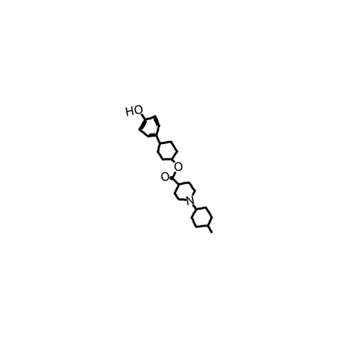 CC1CCC(N2CCC(C(=O)OC3CCC(c4ccc(O)cc4)CC3)CC2)CC1